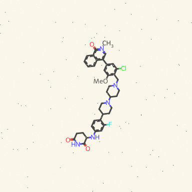 COc1cc(-c2cn(C)c(=O)c3ccccc23)cc(Cl)c1CN1CCC(N2CCC(c3ccc(NC4CCC(=O)NC4=O)cc3F)CC2)CC1